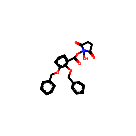 O=C(O[N+]1(O)C(=O)CCC1=O)c1cccc(OCc2ccccc2)c1OCc1ccccc1